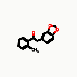 Cc1ccccc1C(=O)Cc1ccc2c(c1)OCO2